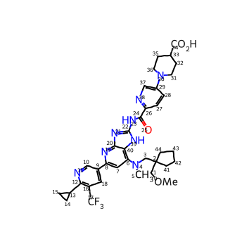 COCC1(CN(C)c2cc(-c3cnc(C4CC4)c(C(F)(F)F)c3)nc3nc(NC(=O)c4ccc(N5CCC(C(=O)O)CC5)cn4)[nH]c23)CCCC1